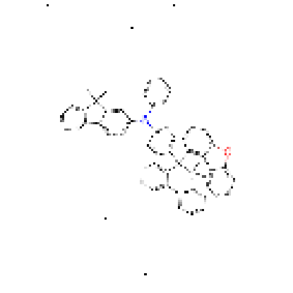 CC1(C)c2ccccc2-c2ccc(N(c3ccccc3)c3ccc(C4(c5cccc6oc7ccccc7c56)c5ccccc5-c5ccccc5C4(C)C)cc3)cc21